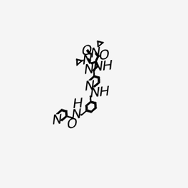 O=C(NCc1cccc(CNc2ccc(-c3nc4c([nH]3)c(=O)n(C3CC3)c(=O)n4C3CC3)cn2)c1)c1cccnc1